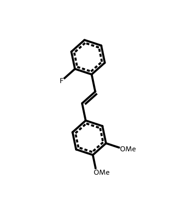 COc1ccc(/C=C/c2ccccc2F)cc1OC